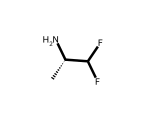 C[C@H](N)C(F)F